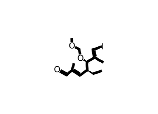 CC[C@@H](/C=C(\C)C=O)[C@@H](OCOC)/C(C)=C/I